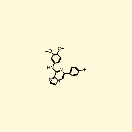 COc1ccc(Nc2nc(-c3ccc(F)cc3)cn3ccnc23)cc1OC